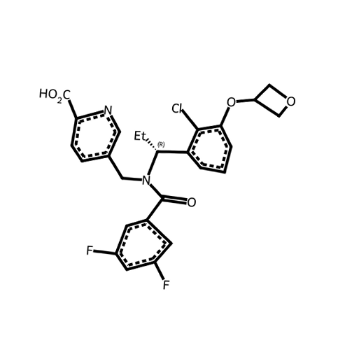 CC[C@H](c1cccc(OC2COC2)c1Cl)N(Cc1ccc(C(=O)O)nc1)C(=O)c1cc(F)cc(F)c1